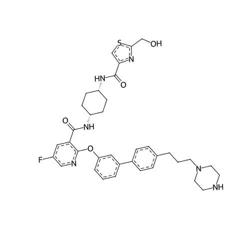 O=C(N[C@H]1CC[C@@H](NC(=O)c2cc(F)cnc2Oc2cccc(-c3ccc(CCCN4CCNCC4)cc3)c2)CC1)c1csc(CO)n1